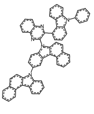 c1ccc(-n2c3ccccc3c3c(-c4nc5ccccc5nc4-n4c5ccc(-n6c7ccccc7c7c8ccccc8ccc76)cc5c5c6ccccc6ccc54)cccc32)cc1